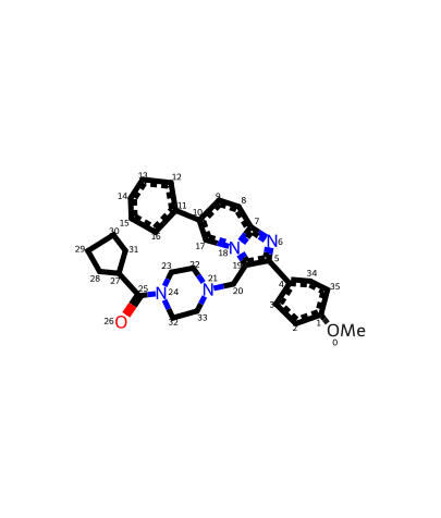 COc1ccc(-c2nc3ccc(-c4ccccc4)cn3c2CN2CCN(C(=O)C3CCCC3)CC2)cc1